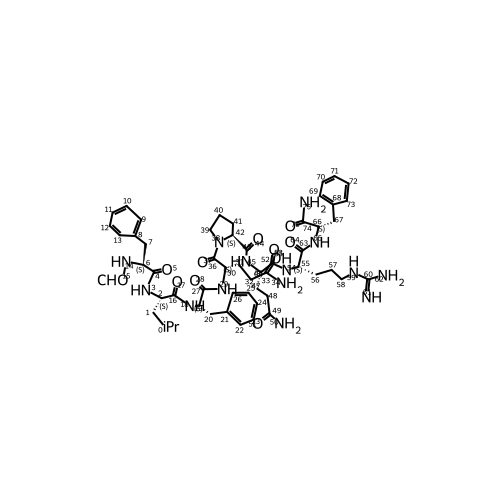 CC(C)C[C@H](NC(=O)[C@H](Cc1ccccc1)NC=O)C(=O)N[C@@H](Cc1ccccc1)C(=O)N[C@@H](CCC(N)=O)C(=O)N1CCC[C@H]1C(=O)N[C@@H](CCC(N)=O)C(=O)N[C@@H](CCCNC(=N)N)C(=O)N[C@@H](Cc1ccccc1)C(N)=O